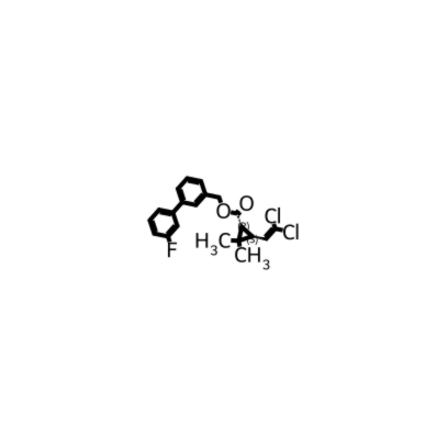 CC1(C)[C@H](C=C(Cl)Cl)[C@H]1C(=O)OCc1cccc(-c2cccc(F)c2)c1